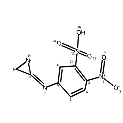 O=[N+]([O-])c1ccc(N=C2C[N]2)cc1S(=O)(=O)O